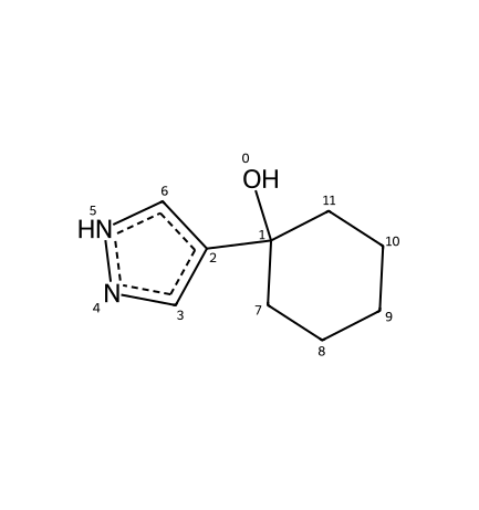 OC1(c2cn[nH]c2)CCCCC1